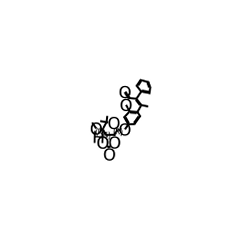 CO[C@@H]1[C@@H]2OC(=O)OC2[C@H](Oc2ccc3c(C)c(-c4ccccc4)c(=O)oc3c2)OC1(C)C